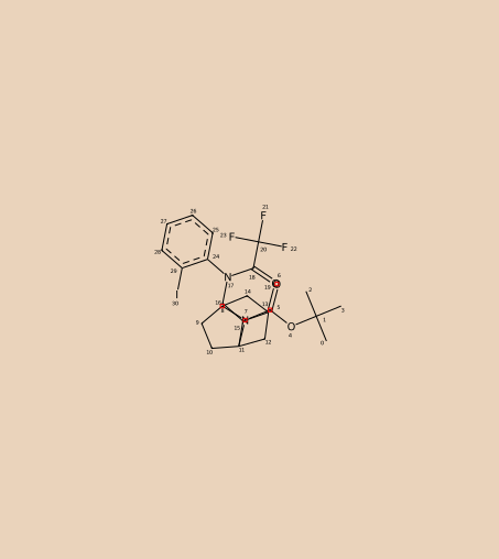 CC(C)(C)OC(=O)N1C2CCC13CC(C2)C3CN(C(=O)C(F)(F)F)c1ccccc1I